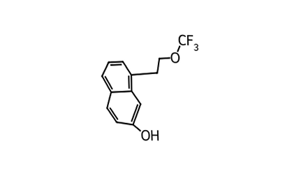 Oc1ccc2cccc(CCOC(F)(F)F)c2c1